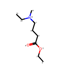 CCOC(=O)CCCN(C)CC